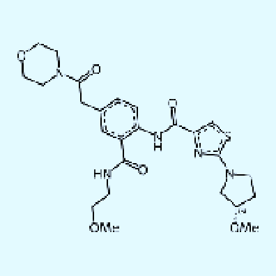 COCCNC(=O)c1cc(CC(=O)N2CCOCC2)ccc1NC(=O)c1csc(N2CC[C@H](OC)C2)n1